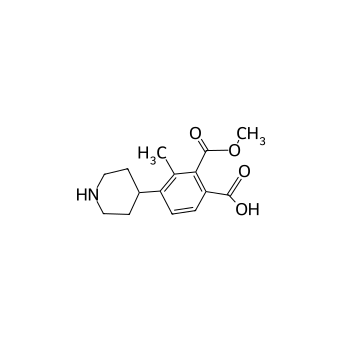 COC(=O)c1c(C(=O)O)ccc(C2CCNCC2)c1C